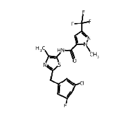 Cc1nc(Cc2cc(F)cc(Cl)c2)sc1NC(=O)c1cc(C(F)(F)F)nn1C